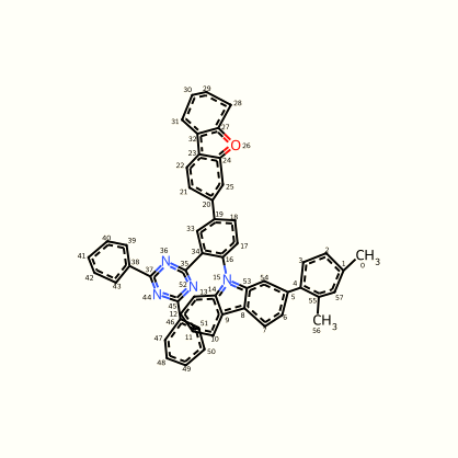 Cc1ccc(-c2ccc3c4ccccc4n(-c4ccc(-c5ccc6c(c5)oc5ccccc56)cc4-c4nc(-c5ccccc5)nc(-c5ccccc5)n4)c3c2)c(C)c1